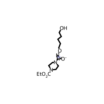 CCOC(=O)N1CCN(/[N+]([O-])=N/OCCCCCO)CC1